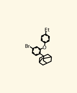 CCc1ccc(Oc2cc(Br)ccc2C23CC4CC(CC(C4)C2)C3)cc1